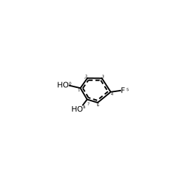 Oc1[c]cc(F)cc1O